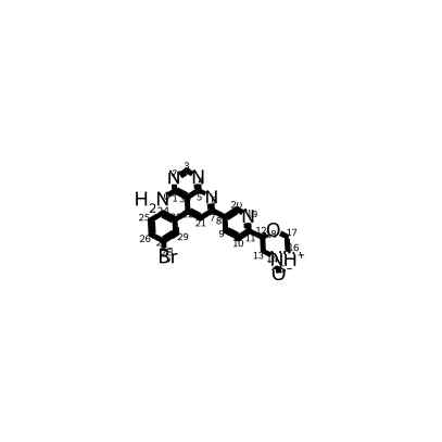 Nc1ncnc2nc(-c3ccc(C4C[NH+]([O-])CCO4)nc3)cc(-c3cccc(Br)c3)c12